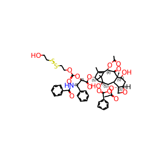 CC(=O)O[C@H]1C(=O)[C@@]2(C)C([C@H](OC(=O)c3ccccc3)[C@]3(O)C[C@H](OC(=O)[C@H](OC(=O)OCCSSCCO)[C@@H](NC(=O)c4ccccc4)c4ccccc4)C(C)=C1C3(C)C)[C@]1(OC(C)=O)CO[C@@H]1C[C@@H]2O